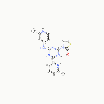 O=c1sccn1-c1nc(Nc2ccnc(C(F)(F)F)c2)nc(-c2cccc(C(F)(F)F)n2)n1